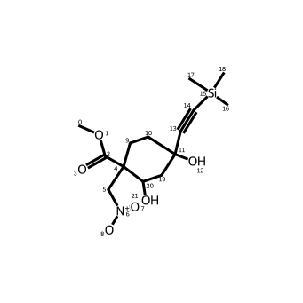 COC(=O)C1(C[N+](=O)[O-])CCC(O)(C#C[Si](C)(C)C)CC1O